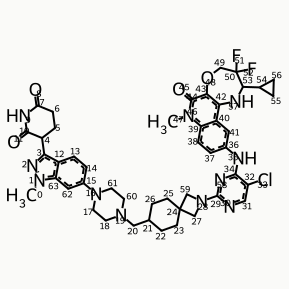 Cn1nc(C2CCC(=O)NC2=O)c2ccc(N3CCN(CC4CCC5(CC4)CN(c4ncc(Cl)c(Nc6ccc7c(c6)c6c(c(=O)n7C)OCC(F)(F)C(C7CC7)N6)n4)C5)CC3)cc21